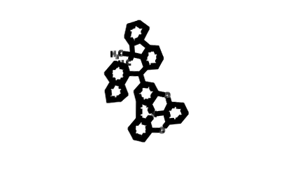 CC1(C)c2ccccc2-c2cccc(C(c3cc4c5c(c3)c3cccc6c3n5-c3c(cccc3O4)O6)c3cccc4ccccc34)c21